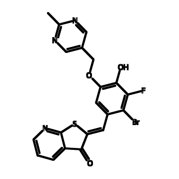 Cc1ncc(COc2cc(/C=C3\Sc4ncccc4C3=O)c(Br)c(F)c2O)cn1